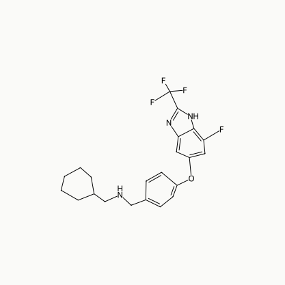 Fc1cc(Oc2ccc(CNCC3CCCCC3)cc2)cc2nc(C(F)(F)F)[nH]c12